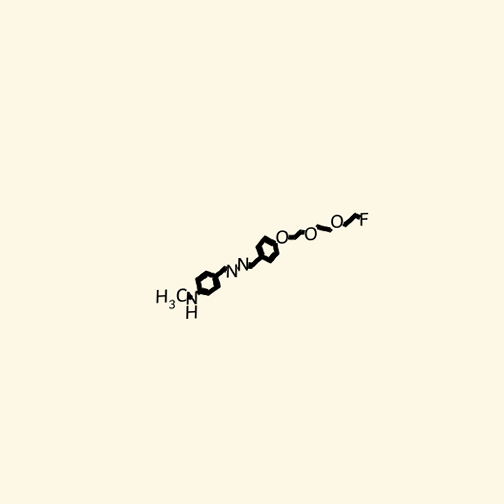 CNc1ccc(/C=N/N=C/c2ccc(OCCOCCOCCF)cc2)cc1